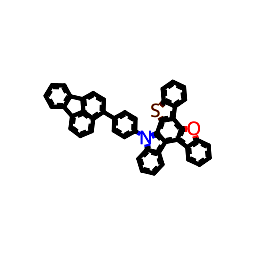 c1ccc2c(c1)-c1cccc3c(-c4ccc(-n5c6ccccc6c6c7c8ccccc8oc7c7c8ccccc8sc7c65)cc4)ccc-2c13